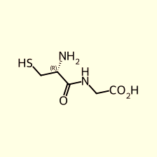 N[C@@H](CS)C(=O)NCC(=O)O